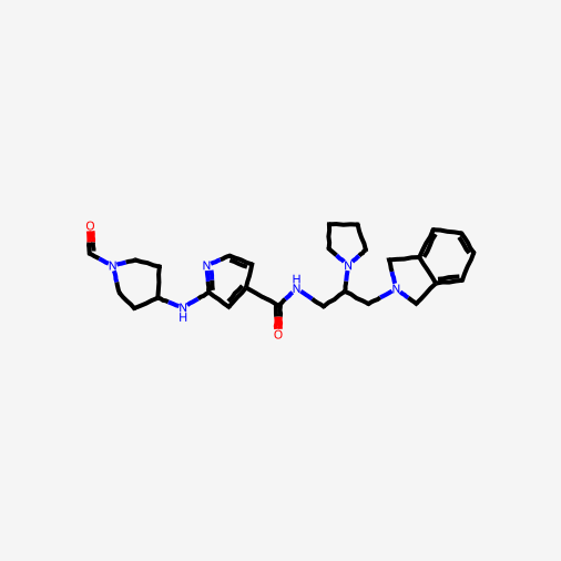 O=CN1CCC(Nc2cc(C(=O)NCC(CN3Cc4ccccc4C3)N3CCCC3)ccn2)CC1